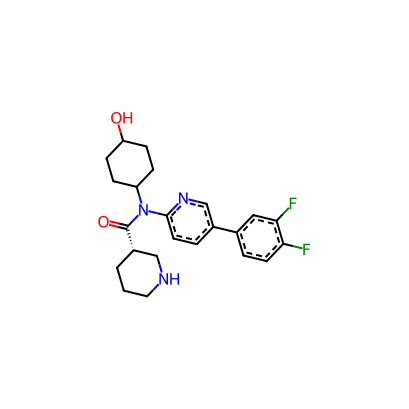 O=C([C@H]1CCCNC1)N(c1ccc(-c2ccc(F)c(F)c2)cn1)C1CCC(O)CC1